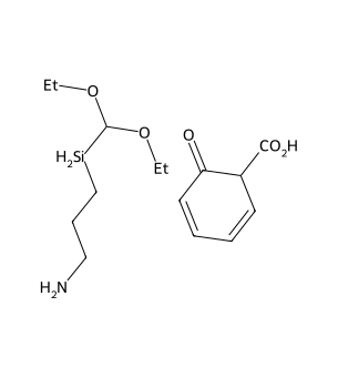 CCOC(OCC)[SiH2]CCCN.O=C(O)C1C=CC=CC1=O